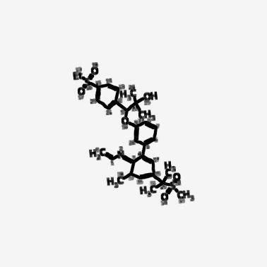 C=C/N=C1/C(c2cccc(OC(c3ccc(S(=O)(=O)CC)cc3)C(C)(C)O)c2)=CC(C(C)(C)S(C)(=O)=O)=CC1C